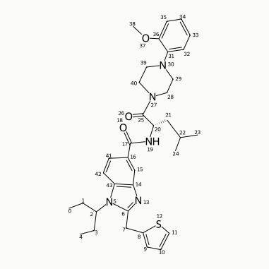 CCC(CC)n1c(Cc2cccs2)nc2cc(C(=O)N[C@@H](CC(C)C)C(=O)N3CCN(c4ccccc4OC)CC3)ccc21